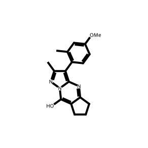 COc1ccc(-c2c(C)nn3c(O)c4c(nc23)CCC4)c(C)c1